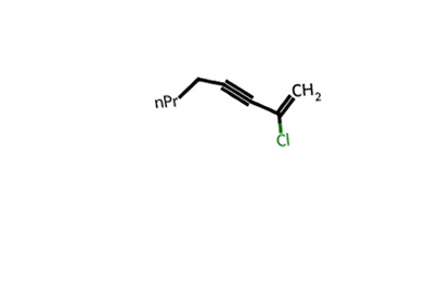 C=C(Cl)C#CCCCC